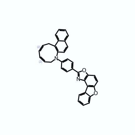 C1=C\Cc2c(ccc3ccccc23)N(c2ccc(-c3nc4c(ccc5oc6ccccc6c54)o3)cc2)C\C=C/1